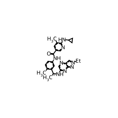 CCn1cc2ncc(N[C@@H](C)c3cc(NC(=O)c4cnc(NC5CC5)c(C)c4)ccc3C)nc2n1